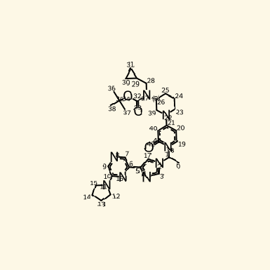 CC(n1cnc(-c2cncc(N3CCCC3)n2)c1)n1ccc(N2CCC[C@@H](N(CC3CC3)C(=O)OC(C)(C)C)C2)cc1=O